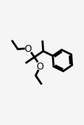 CCOC(C)(OCC)C(C)c1ccccc1